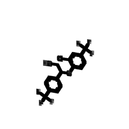 OCC(Oc1ccc(C(F)(F)F)cc1Cl)c1ccc(C(F)(F)F)cc1